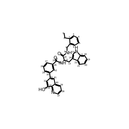 CCc1ccccc1CNC(=O)C(Cc1c[nH]c2ccccc12)NC(=O)c1cccc(-c2cc(O)c3ncccc3c2)c1